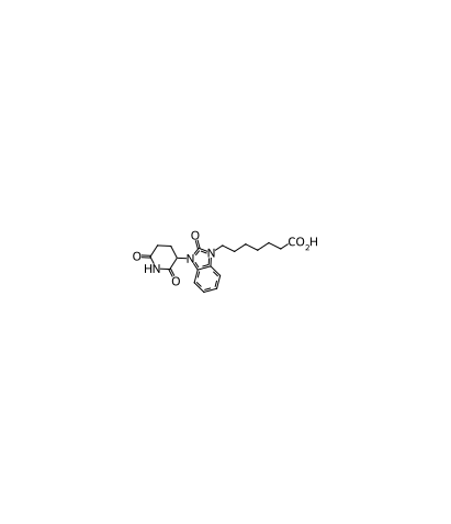 O=C(O)CCCCCCn1c(=O)n(C2CCC(=O)NC2=O)c2ccccc21